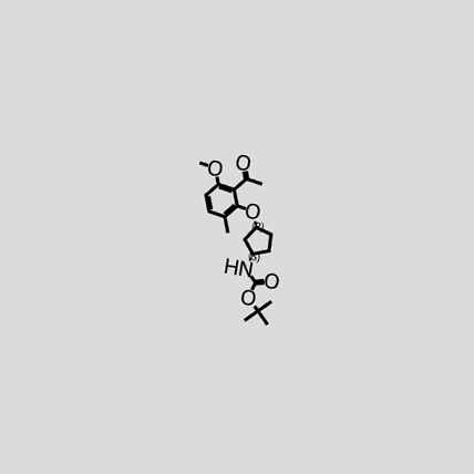 COc1ccc(C)c(O[C@@H]2CC[C@H](NC(=O)OC(C)(C)C)C2)c1C(C)=O